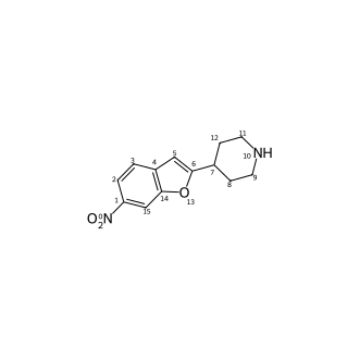 O=[N+]([O-])c1ccc2cc(C3CCNCC3)oc2c1